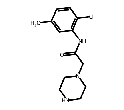 Cc1ccc(Cl)c(NC(=O)CN2CCNCC2)c1